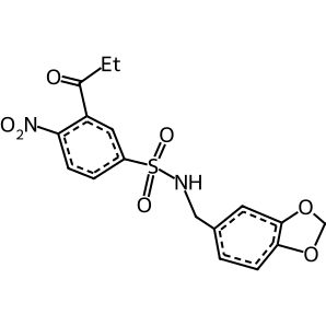 CCC(=O)c1cc(S(=O)(=O)NCc2ccc3c(c2)OCO3)ccc1[N+](=O)[O-]